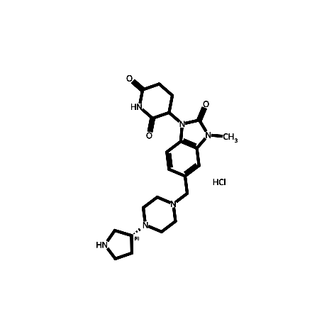 Cl.Cn1c(=O)n(C2CCC(=O)NC2=O)c2ccc(CN3CCN([C@@H]4CCNC4)CC3)cc21